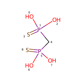 OP(O)(=S)CP(O)(O)=S